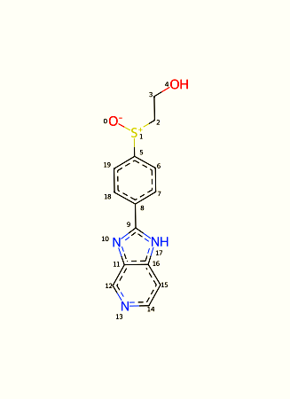 [O-][S+](CCO)c1ccc(-c2nc3cnccc3[nH]2)cc1